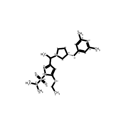 CCOc1cc(C(C)N2CC[C@H](Cc3cc(C)nc(C)c3)C2)nn1S(=O)(=O)N(C)C